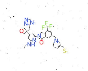 CCNc1cc(C2(Cc3nncn3C)COC2)cc(N2Cc3c(cc(CN4CCC[C@H](CSC)C4)cc3C(F)(F)F)C2=O)n1